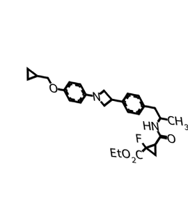 CCOC(=O)C1(F)CC1C(=O)NC(C)Cc1ccc(C2CN(c3ccc(OCC4CC4)cc3)C2)cc1